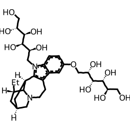 CC[C@H]1C[C@H]2C[C@H]3c4c(c5cc(OC[C@H](O)[C@@H](O)[C@H](O)[C@H](O)CO)ccc5n4C[C@H](O)[C@@H](O)[C@H](O)[C@H](O)CO)CCN(C2)C13